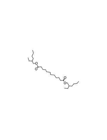 CCCCC(CC)COC(=O)CCCCCCCCCCC(=O)OCC(CC)CCCC